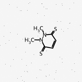 Cn1c(=S)ccc(=S)n1C